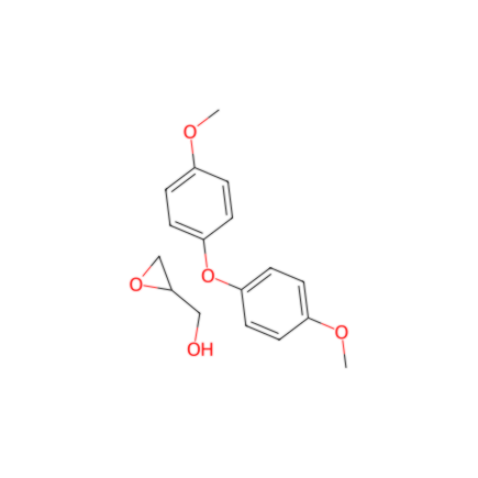 COc1ccc(Oc2ccc(OC)cc2)cc1.OCC1CO1